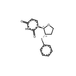 O=c1ccn([C@H]2OCC[C@@H]2Sc2ccccc2)c(=O)[nH]1